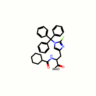 COC(=O)C(Cc1cn(C(c2ccccc2)(c2ccccc2)c2ccccc2)c(F)n1)NC(=O)C1CCCCC1